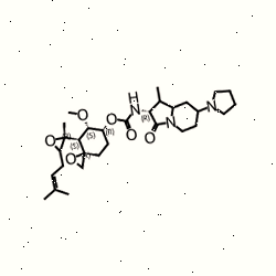 CO[C@@H]1[C@H](OC(=O)N[C@H]2C(=O)N3CCC(N4CCCC4)CC3C2C)CC[C@]2(CO2)[C@H]1[C@@]1(C)OC1CC=C(C)C